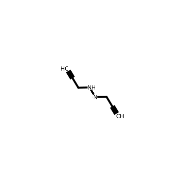 C#CC[N]NCC#C